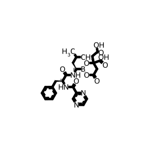 CC(C)C[C@H](NC(=O)[C@H](Cc1ccccc1)NC(=O)c1cnccn1)B1OC(=O)CC(CC(=O)O)(C(=O)O)O1